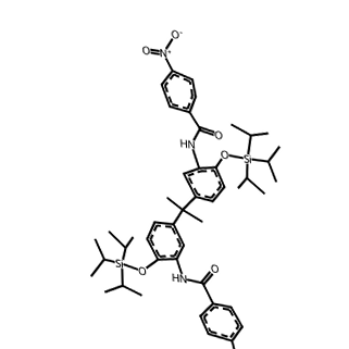 CC(C)[Si](Oc1ccc(C(C)(C)c2ccc(O[Si](C(C)C)(C(C)C)C(C)C)c(NC(=O)c3ccc([N+](=O)[O-])cc3)c2)cc1NC(=O)c1ccc([N+](=O)[O-])cc1)(C(C)C)C(C)C